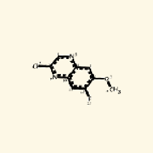 COc1cc2ncc(Cl)nc2cc1F